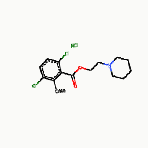 COc1c(Cl)ccc(Cl)c1C(=O)OCCN1CCCCC1.Cl